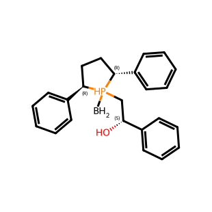 B[PH]1(C[C@@H](O)c2ccccc2)[C@@H](c2ccccc2)CC[C@@H]1c1ccccc1